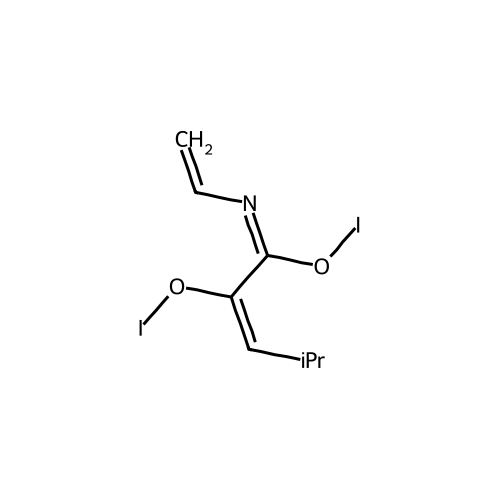 C=C/N=C(OI)\C(=C/C(C)C)OI